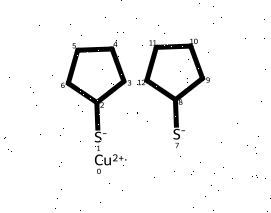 [Cu+2].[S-]C1CCCC1.[S-]C1CCCC1